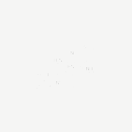 CC(C1CCN(CC(F)(F)F)CC1)C1(N)NC(N)=Nc2sccc21